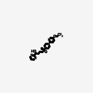 O=S(=O)(CCCC(O)c1ncccn1)N1CCN(c2ccc(OCC(F)(F)F)cn2)CC1